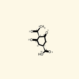 CC(=O)[C@H]1C(=O)C[C@@H](C(=O)O)CC1=O